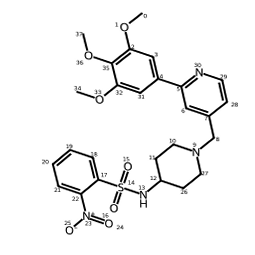 COc1cc(-c2cc(CN3CCC(NS(=O)(=O)c4ccccc4[N+](=O)[O-])CC3)ccn2)cc(OC)c1OC